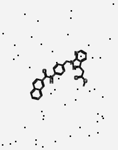 COC(=O)Cc1nn(Cc2ccc(NC(=O)c3ccc4ccccc4c3)cc2)c2ncccc12